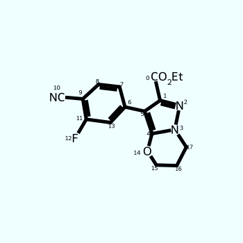 CCOC(=O)c1nn2c(c1-c1ccc(C#N)c(F)c1)OCCC2